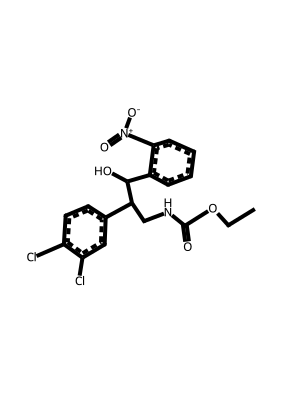 CCOC(=O)NCC(c1ccc(Cl)c(Cl)c1)C(O)c1ccccc1[N+](=O)[O-]